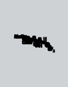 COc1cc(OC)nc(Oc2cccc(C(=O)NCC(C(=O)NCCNc3ccc(OC(F)(F)F)cc3)C3CCCCC3)c2)n1